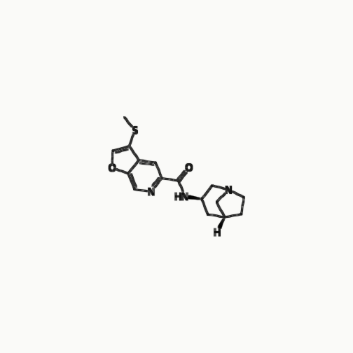 CSc1coc2cnc(C(=O)N[C@@H]3C[C@H]4CCN(C4)C3)cc12